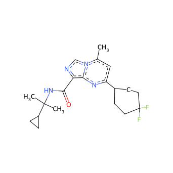 Cc1cc(C2CCC(F)(F)CC2)nc2c(C(=O)NC(C)(C)C3CC3)ncn12